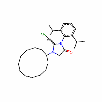 CC(C)c1cccc(C(C)C)c1N1C(=O)CN(C2CCCCCCCCCCC2)/[C]1=[Au]\[Cl]